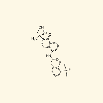 CC(C)(CO)n1ccc2c(NC(=O)Cc3cccc(C(F)(F)F)c3F)cccc2c1=O